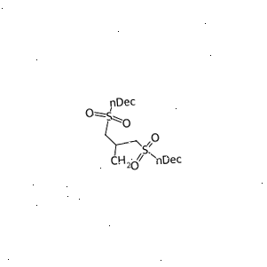 [CH2]C(CS(=O)(=O)CCCCCCCCCC)CS(=O)(=O)CCCCCCCCCC